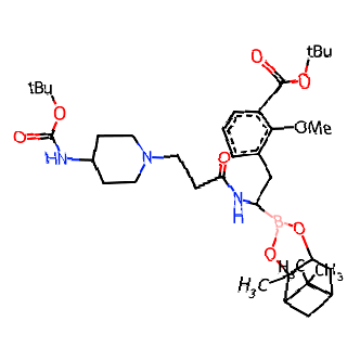 COc1c(CC(NC(=O)CCN2CCC(NC(=O)OC(C)(C)C)CC2)B2OC3CC4CC(C4(C)C)C3(C)O2)cccc1C(=O)OC(C)(C)C